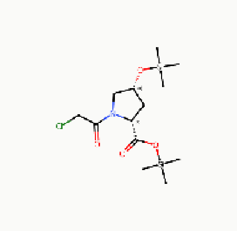 C[Si](C)(C)OC(=O)[C@H]1C[C@@H](O[Si](C)(C)C)CN1C(=O)CCl